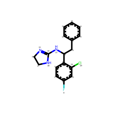 Fc1ccc(C(Cc2ccccc2)NC2=NCCN2)c(Cl)c1